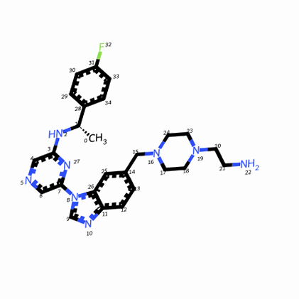 C[C@H](Nc1cncc(-n2cnc3ccc(CN4CCN(CCN)CC4)cc32)n1)c1ccc(F)cc1